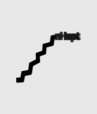 C=C/C=C/CCCCCCCCCCCCCC